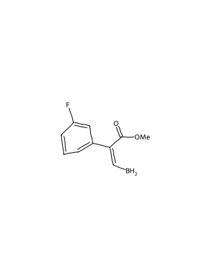 BC=C(C(=O)OC)c1cccc(F)c1